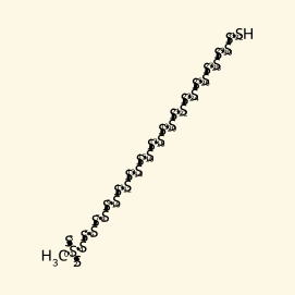 CS(=S)(=S)SSSSSSSSSSSSSSSSSSSSSSSSSSSSS